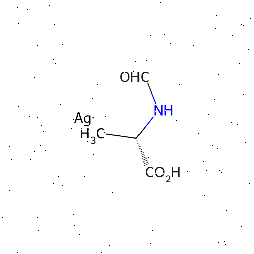 C[C@H](NC=O)C(=O)O.[Ag]